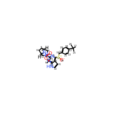 CC(C)(C)OC(=O)N1[C@@H]2CC[C@H]1CN(c1nc([S+]([O-])Cc3ccc(C(C)(C)C)cc3)c3cc[nH]c3n1)C2